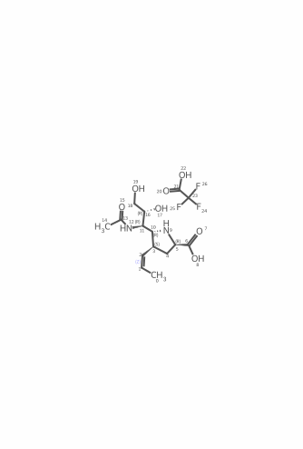 C/C=C\[C@@H]1C[C@H](C(=O)O)N[C@H]1[C@@H](NC(C)=O)[C@@H](O)CO.O=C(O)C(F)(F)F